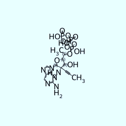 CC#CC1(N)[C@@H](O)[C@@H]([C@H](C)OP(=O)(O)OP(=O)(O)OP(=O)(O)O)O[C@H]1n1cnc2cnc(N)nc21